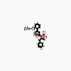 COc1ccccc1C(CC(=O)N1C(=O)OCC1Cc1ccccc1)C[N+](=O)[O-]